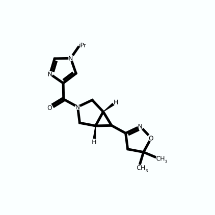 CC(C)n1cnc(C(=O)N2C[C@@H]3C(C4=NOC(C)(C)C4)[C@@H]3C2)c1